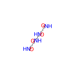 CNC(=O)CCCCC(=O)NCCCCNC(=O)CCCCC(=O)NC